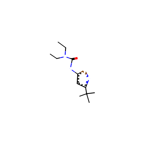 CCN(CC)C(=O)Nc1cc(C(C)(C)C)ns1